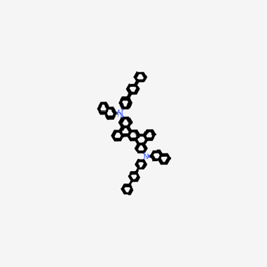 c1ccc(-c2ccc(-c3ccc(N(c4ccc5ccccc5c4)c4ccc5c(c4)c4ccccc4c4cc6c7ccc(N(c8ccc(-c9ccc(-c%10ccccc%10)cc9)cc8)c8ccc9ccccc9c8)cc7c7ccccc7c6cc54)cc3)cc2)cc1